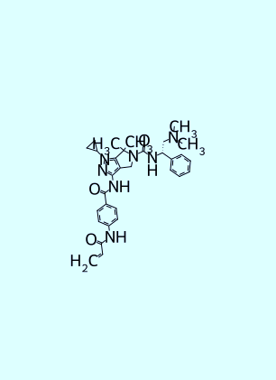 C=CC(=O)Nc1ccc(C(=O)Nc2nn(C3CC3)c3c2CN(C(=O)N[C@H](CN(C)C)c2ccccc2)C3(C)C)cc1